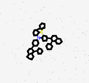 c1ccc(-c2c(-c3ccc(N(c4ccc(-c5ccc6ccccc6c5-c5ccccc5)cc4)c4cccc5c4sc4ccccc45)cc3)ccc3ccccc23)cc1